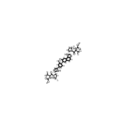 COC(=O)NC(C(=O)N1C[C@@H](C)C[C@H]1c1ncc(-c2ccc3c(c2)COc2cc4c(ccc5nc([C@@H]6CC[C@H](C)N6C(=O)[C@@H](NC(=O)OC)C(C)C)[nH]c54)cc2-3)[nH]1)C(C)C